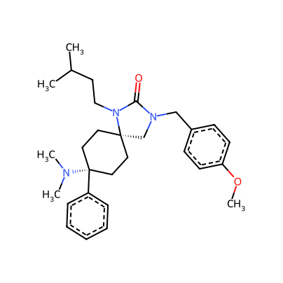 COc1ccc(CN2C[C@]3(CC[C@@](c4ccccc4)(N(C)C)CC3)N(CCC(C)C)C2=O)cc1